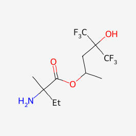 CCC(C)(N)C(=O)OC(C)CC(O)(C(F)(F)F)C(F)(F)F